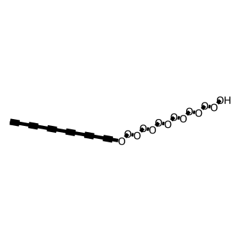 C#CC#CC#CC#CC#CC#COOOOOOOOOOOOOO